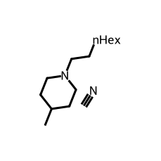 C#N.CCCCCCCCN1CCC(C)CC1